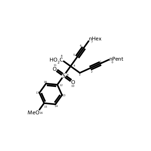 CCCCCC#CCC(C#CCCCCCC)(C(=O)O)S(=O)(=O)c1ccc(OC)cc1